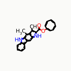 Cc1c(C(=O)OC2=CC=CC=CC=C2)[nH]c2cc3c([nH]c4ccccc43)c(C)c12